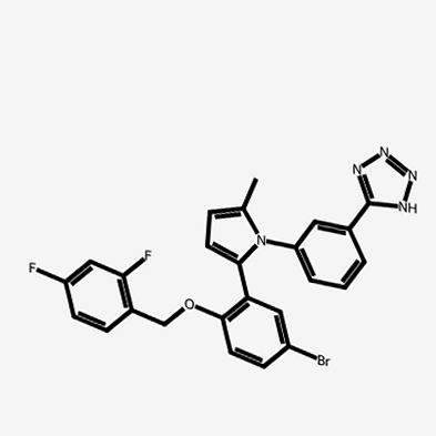 Cc1ccc(-c2cc(Br)ccc2OCc2ccc(F)cc2F)n1-c1cccc(-c2nnn[nH]2)c1